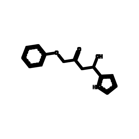 O=C(COc1ccccc1)CC(O)c1ccc[nH]1